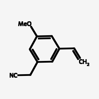 C=Cc1cc(CC#N)cc(OC)c1